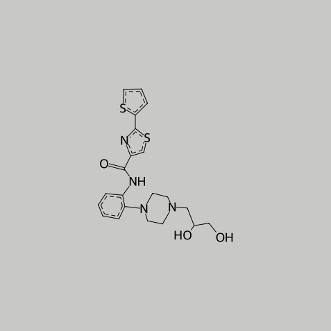 O=C(Nc1ccccc1N1CCN(CC(O)CO)CC1)c1csc(-c2cccs2)n1